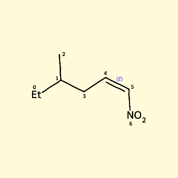 CCC(C)C/C=C\[N+](=O)[O-]